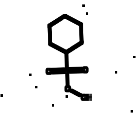 O=S(=O)(OO)C1CCCCC1